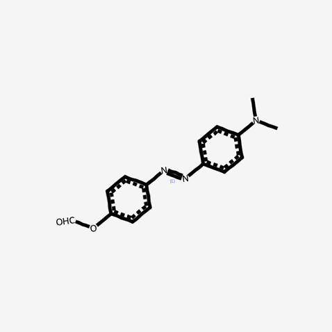 CN(C)c1ccc(/N=N/c2ccc(OC=O)cc2)cc1